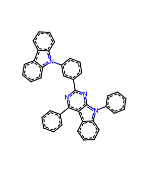 c1ccc(-c2nc(-c3cccc(-n4c5ccccc5c5ccccc54)c3)nc3c2c2ccccc2n3-c2ccccc2)cc1